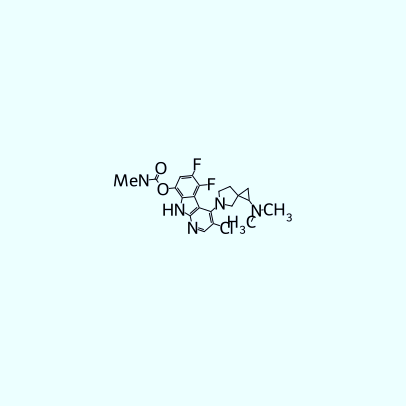 CNC(=O)Oc1cc(F)c(F)c2c1[nH]c1ncc(Cl)c(N3CCC4(CC4N(C)C)C3)c12